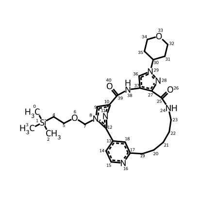 C[Si](C)(C)CCOCn1cc2nc1-c1ccnc(c1)CCCCCNC(=O)c1nn(C3CCOCC3)cc1NC2=O